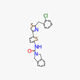 O=C(Nc1ccc(-c2csc(Cc3ccccc3Cl)n2)s1)N1Cc2ccccc2C1